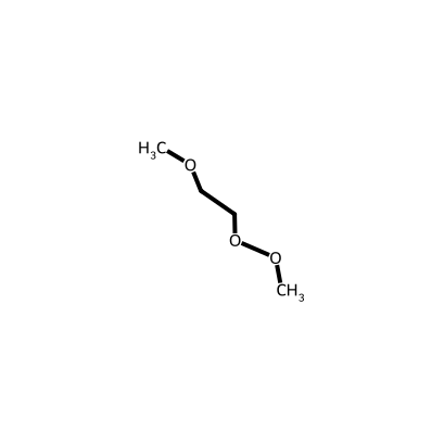 COCCOOC